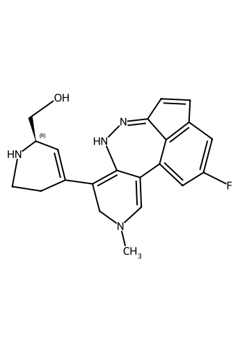 CN1C=C2C(=C(C3=C[C@H](CO)NCC3)C1)NN=C1C=Cc3cc(F)cc2c31